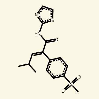 CC(C)/C=C(/C(=O)Nc1nccs1)c1ccc(S(C)(=O)=O)cc1